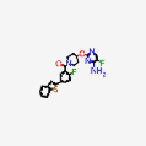 Nc1nc(OC2CCN(C(=O)c3cc(-c4cc5ccccc5s4)ccc3F)CC2)ncc1F